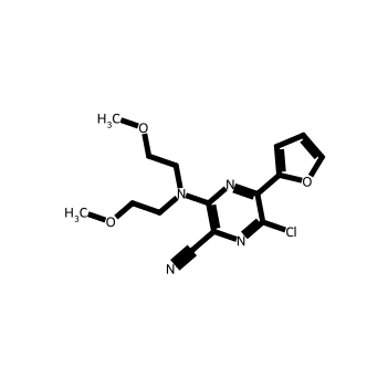 COCCN(CCOC)c1nc(-c2ccco2)c(Cl)nc1C#N